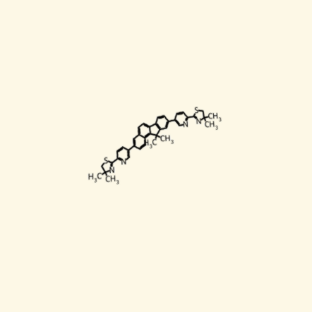 CC1(C)CSC(c2ccc(-c3ccc4c(c3)C(C)(C)c3c-4ccc4cc(-c5ccc(C6=NC(C)(C)CS6)nc5)ccc34)cn2)=N1